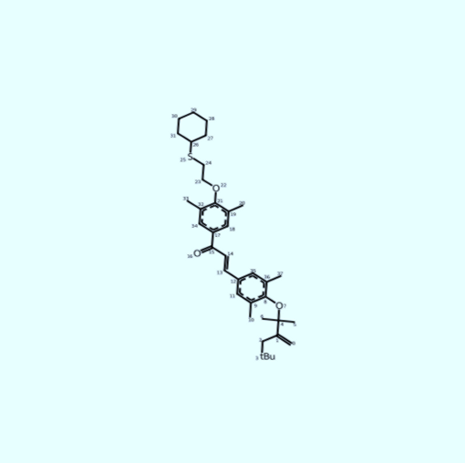 C=C(CC(C)(C)C)C(C)(C)Oc1c(C)cc(/C=C/C(=O)c2cc(C)c(OCCSC3CCCCC3)c(C)c2)cc1C